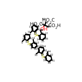 Cc1ccccc1Sc1ccccc1C.Cc1ccccc1Sc1ccccc1C.Cc1ccccc1Sc1ccccc1C.O=C(O)CC(O)(CC(=O)O)C(=O)O